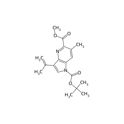 C=C(C)c1cn(C(=O)OC(C)(C)C)c2cc(C)c(C(=O)OC)nc12